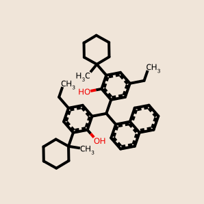 CCc1cc(C(c2cc(CC)cc(C3(C)CCCCC3)c2O)c2cccc3ccccc23)c(O)c(C2(C)CCCCC2)c1